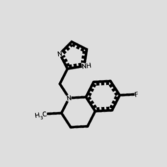 CC1CCc2cc(F)ccc2N1Cc1ncc[nH]1